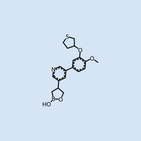 COc1ccc(-c2cncc(C3COB(O)C3)c2)cc1OC1CCSC1